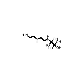 NCCNCCNC(O)(O)C(O)(O)O